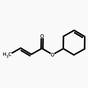 CC=CC(=O)OC1CC=CCC1